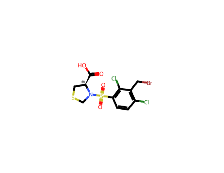 O=C(O)[C@@H]1CSCN1S(=O)(=O)c1ccc(Cl)c(CBr)c1Cl